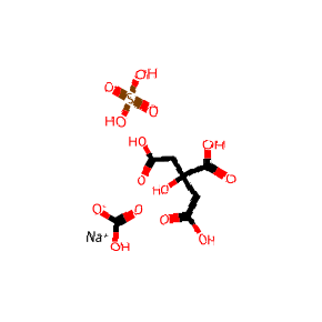 O=C(O)CC(O)(CC(=O)O)C(=O)O.O=C([O-])O.O=S(=O)(O)O.[Na+]